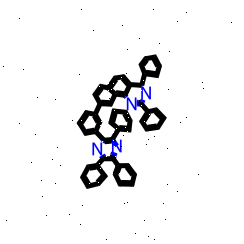 c1ccc(-c2nc(-c3ccccc3)c3ccc4ccc(-c5cccc(-c6nc(-c7ccccc7)c(-c7ccccc7)nc6-c6ccccc6)c5)cc4c3n2)cc1